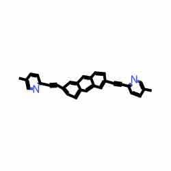 Cc1ccc(C#Cc2ccc3cc4cc(C#Cc5ccc(C)cn5)ccc4cc3c2)nc1